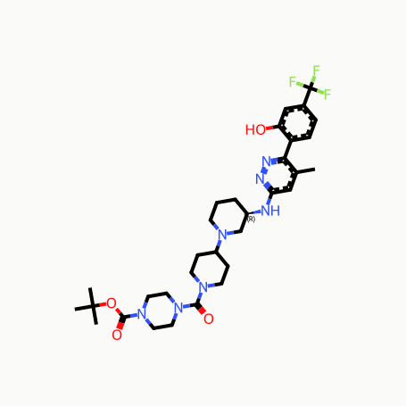 Cc1cc(N[C@@H]2CCCN(C3CCN(C(=O)N4CCN(C(=O)OC(C)(C)C)CC4)CC3)C2)nnc1-c1ccc(C(F)(F)F)cc1O